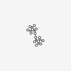 c1ccc(-n2c3ccccc3c3c2c2c4ccccc4n(-c4ccc(-c5ccc(-n6c7ccccc7c7c8c(c9ccccc9n8-c8ccccc8)c8c(c9ccccc9n8-c8ccccc8)c76)cc5)cc4)c2c2c4ccccc4n(-c4ccccc4)c32)cc1